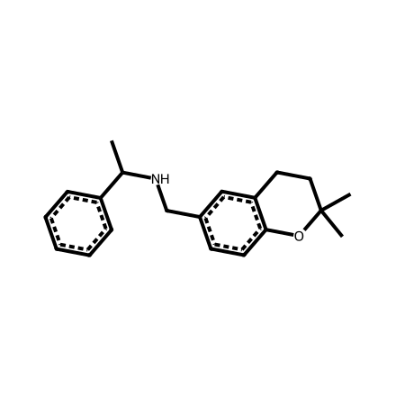 CC(NCc1ccc2c(c1)CCC(C)(C)O2)c1ccccc1